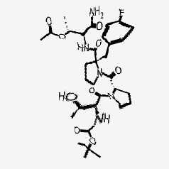 CC(=O)O[C@H](C)[C@H](NC(=O)[C@@]1(Cc2ccc(F)cc2)CCCN1C(=O)[C@@H]1CCCN1C(=O)[C@@H](NC(=O)OC(C)(C)C)[C@@H](C)O)C(N)=O